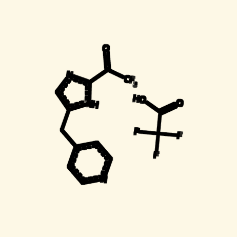 O=C(O)C(F)(F)F.O=C(c1ncc(Cc2ccncc2)[nH]1)C(F)(F)F